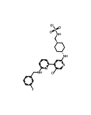 CCS(=O)(=O)NC[C@H]1CC[C@H](Nc2cc(-c3cccc(NCc4cccc(F)c4)n3)c(Cl)cn2)CC1